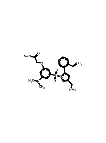 C=Cc1ccccc1-c1cc(CNC)cn1S(=O)(=O)c1cc(OCC(=O)NC)cc(N(C)C)c1